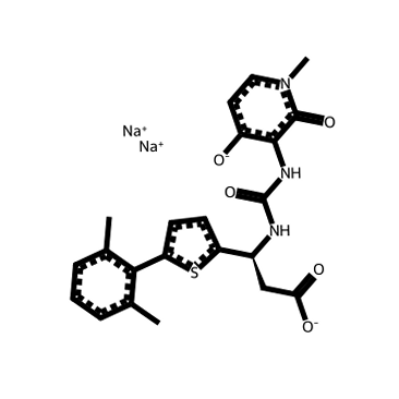 Cc1cccc(C)c1-c1ccc([C@H](CC(=O)[O-])NC(=O)Nc2c([O-])ccn(C)c2=O)s1.[Na+].[Na+]